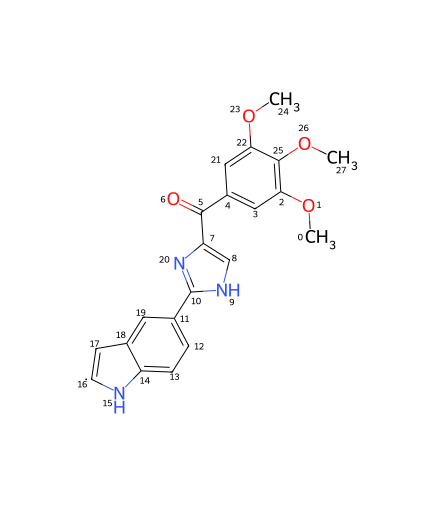 COc1cc(C(=O)c2c[nH]c(-c3ccc4[nH][c]cc4c3)n2)cc(OC)c1OC